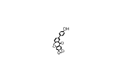 O=C1c2cc(-c3ccc(O)cc3)ccc2COc2cc3c(cc21)OCO3